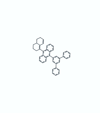 C1=CC2=C(c3c4ccccc4c(-c4cc(-c5ccccc5)cc(-c5ccccc5)c4)c4ccccc34)CCCC2CC1